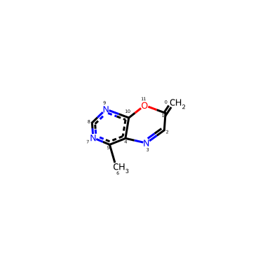 C=C1C=Nc2c(C)ncnc2O1